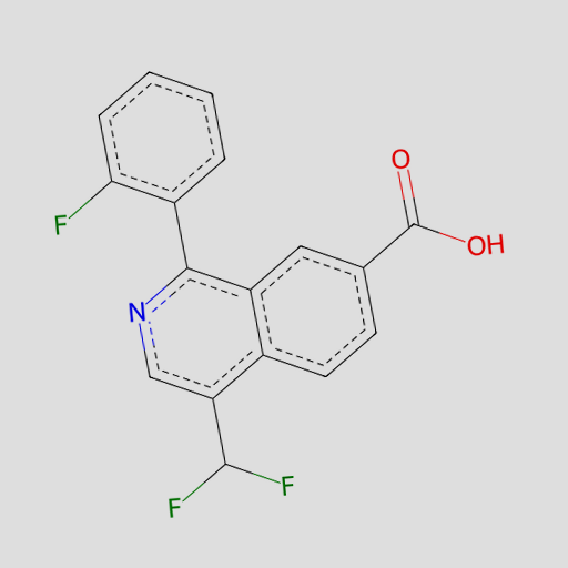 O=C(O)c1ccc2c(C(F)F)cnc(-c3ccccc3F)c2c1